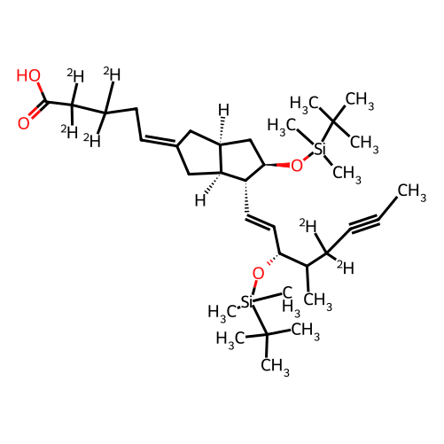 [2H]C([2H])(C#CC)C(C)[C@@H](/C=C/[C@@H]1[C@H]2C/C(=C/CC([2H])([2H])C([2H])([2H])C(=O)O)C[C@H]2C[C@H]1O[Si](C)(C)C(C)(C)C)O[Si](C)(C)C(C)(C)C